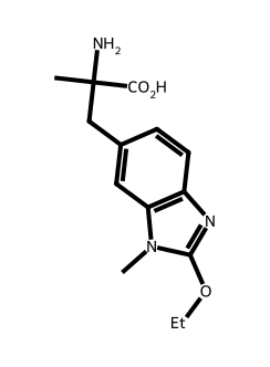 CCOc1nc2ccc(CC(C)(N)C(=O)O)cc2n1C